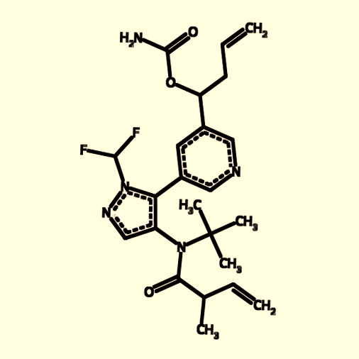 C=CCC(OC(N)=O)c1cncc(-c2c(N(C(=O)C(C)C=C)C(C)(C)C)cnn2C(F)F)c1